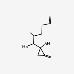 C=CCCC(C)C(S)C1(S)CC1=C